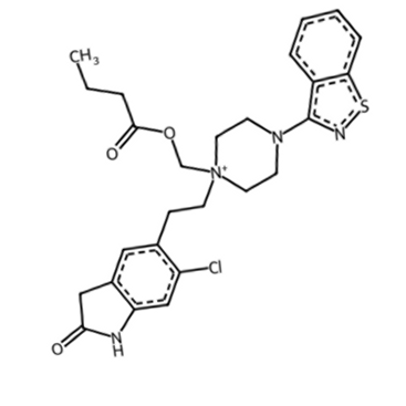 CCCC(=O)OC[N+]1(CCc2cc3c(cc2Cl)NC(=O)C3)CCN(c2nsc3ccccc23)CC1